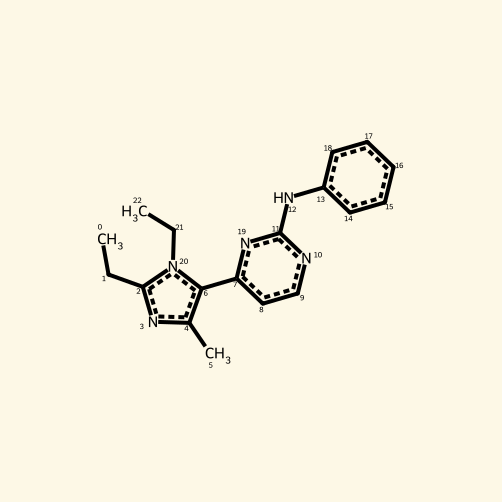 CCc1nc(C)c(-c2ccnc(Nc3ccccc3)n2)n1CC